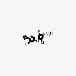 O=C(O)c1cc(Cl)c(Oc2cnc(C3CCC3)c(Cl)c2)cc1F